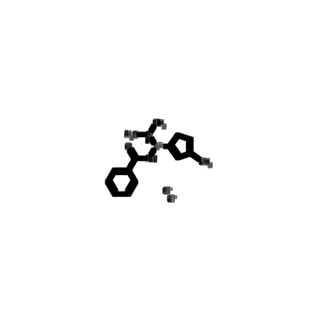 CC1=CC[C]([Ti+2]([NH]C(=O)c2ccccc2)[SiH](C)C)=C1.[Cl-].[Cl-]